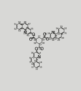 O=C(Oc1cnc2c(ccc3ccccc32)c1)C1CC(C(=O)Oc2cnc3c(ccc4ccccc43)c2)CC(C(=O)Oc2cnc3c(ccc4ccccc43)c2)C1